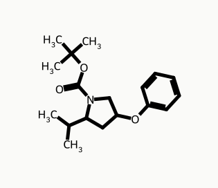 CC(C)C1CC(Oc2ccccc2)CN1C(=O)OC(C)(C)C